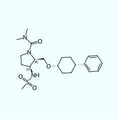 CN(C)C(=O)N1CC[C@H](NS(C)(=O)=O)[C@@H]1CO[C@H]1CC[C@@H](c2ccccc2)CC1